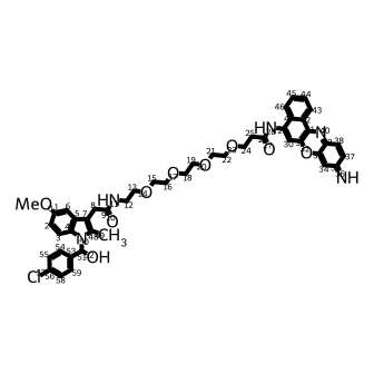 COc1ccc2c(c1)c(CC(=O)NCCOCCOCCOCCOCCC(=O)Nc1cc3oc4cc(=N)ccc-4nc3c3ccccc13)c(C)n2C(O)c1ccc(Cl)cc1